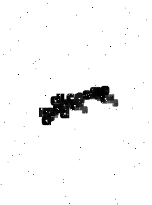 CN(C[C@@H](O)COc1ccc(C(C)(C)c2cc(Cl)c(OC[C@H](O)CCl)c(Cl)c2)cc1)[SH]=O